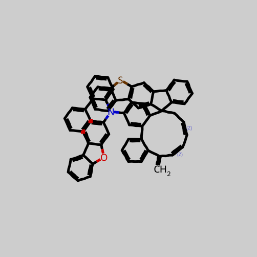 C=C1/C=C\C=C/CC2(c3ccc(N(c4ccc5c(c4)oc4ccccc45)c4ccccc4-c4ccccc4)cc3-c3ccccc31)c1ccccc1-c1cc3sc4ccccc4c3cc12